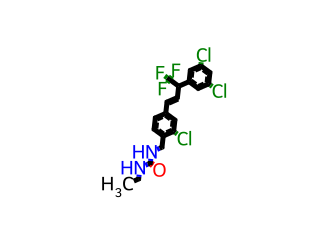 CCNC(=O)NCc1ccc(/C=C/C(c2cc(Cl)cc(Cl)c2)C(F)(F)F)cc1Cl